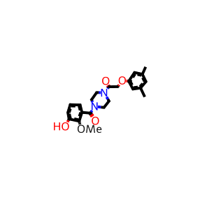 COc1c(O)cccc1C(=O)N1CCN(C(=O)COc2cc(C)cc(C)c2)CC1